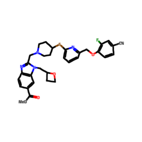 COC(=O)c1ccc2nc(CN3CCC(Sc4cccc(COc5ccc(C#N)cc5F)n4)CC3)n(CC3CCO3)c2c1